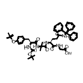 CC(C)(C)OC(=O)N[C@@H](Cc1ccc(OC(C)(C)C)cc1)C(=O)NC(C)(C)C(=O)N[C@@H](CCC(=O)NC(c1ccccc1)(c1ccccc1)c1ccccc1)C(=O)NCC(=O)O